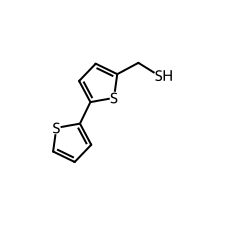 SCc1ccc(-c2cccs2)s1